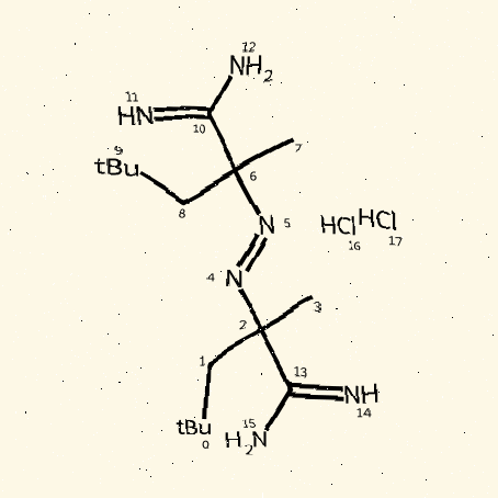 CC(C)(C)CC(C)(N=NC(C)(CC(C)(C)C)C(=N)N)C(=N)N.Cl.Cl